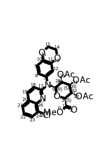 COC(=O)[C@H]1O[C@@H](N(c2ccc3c(c2)OCCO3)c2ccc3cccc(Cl)c3n2)[C@H](OC(C)=O)[C@@H](OC(C)=O)[C@@H]1OC(C)=O